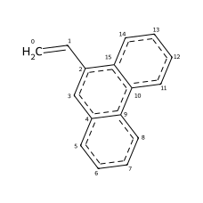 C=Cc1cc2ccccc2c2ccccc12